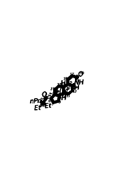 CCCC(CC)(CC)C(=O)[C@H]1CC[C@H]2[C@@H]3CC[C@H]4NC(=O)C=C[C@]4(C)[C@H]3CC[C@]12C